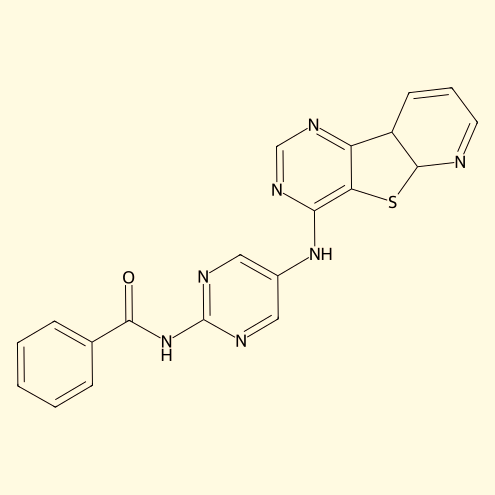 O=C(Nc1ncc(Nc2ncnc3c2SC2N=CC=CC32)cn1)c1ccccc1